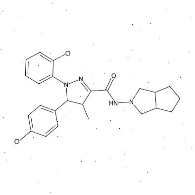 CC1C(C(=O)NN2CC3CCCC3C2)=NN(c2ccccc2Cl)C1c1ccc(Cl)cc1